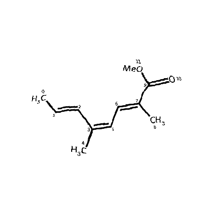 CC=CC(C)=CC=C(C)C(=O)OC